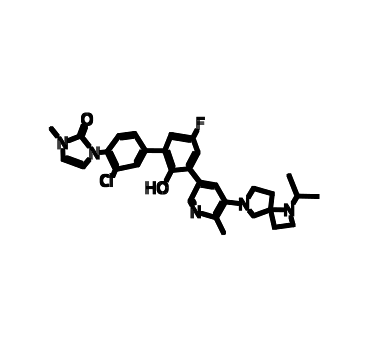 Cc1ncc(-c2cc(F)cc(-c3ccc(-n4ccn(C)c4=O)c(Cl)c3)c2O)cc1N1CCC2(CCN2C(C)C)C1